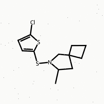 CC1CC2(CCC2)CN1Sc1ccc(Cl)s1